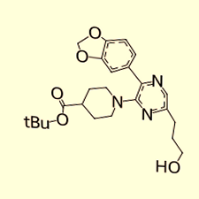 CC(C)(C)OC(=O)C1CCN(c2nc(CCCO)cnc2-c2ccc3c(c2)OCO3)CC1